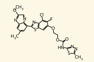 COc1cnc2c(-c3nc4c(Cl)c(F)c(OCCOC(=O)Nc5nnc(C)s5)cc4s3)cc(C)cc2n1